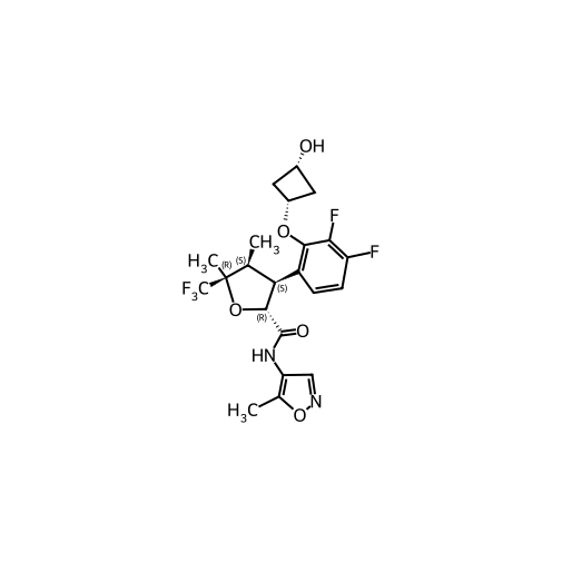 Cc1oncc1NC(=O)[C@@H]1O[C@@](C)(C(F)(F)F)[C@@H](C)[C@H]1c1ccc(F)c(F)c1O[C@H]1C[C@@H](O)C1